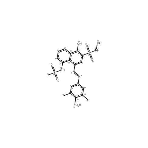 Cc1cc(/N=N/c2cc(S(=O)(=O)NC(C)(C)C)c(O)c3cccc(NS(C)(=O)=O)c23)cc(C)c1S(=O)(=O)O